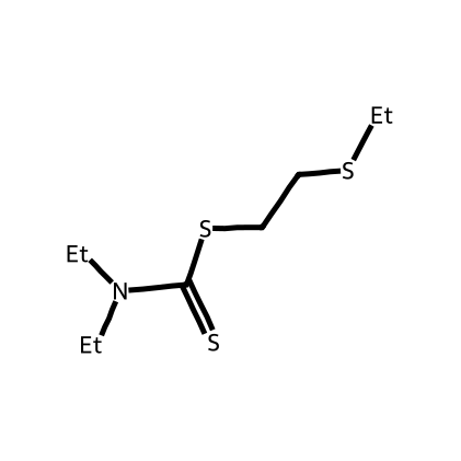 CCSCCSC(=S)N(CC)CC